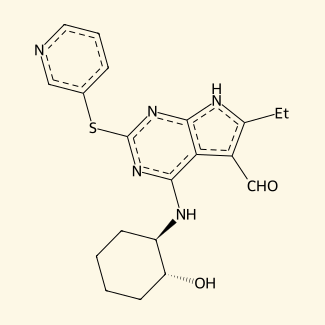 CCc1[nH]c2nc(Sc3cccnc3)nc(N[C@@H]3CCCC[C@H]3O)c2c1C=O